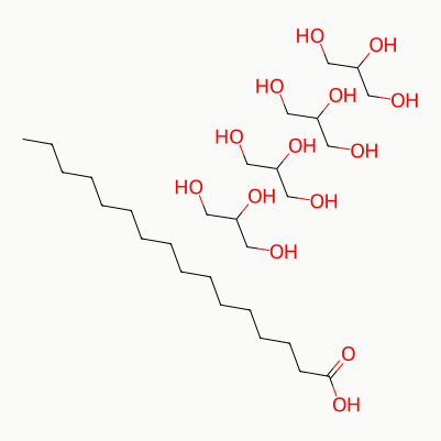 CCCCCCCCCCCCCCCC(=O)O.OCC(O)CO.OCC(O)CO.OCC(O)CO.OCC(O)CO